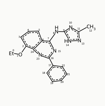 CCOc1cccc2c(Nc3nc(C)n[nH]3)nc(-c3ccccc3)nc12